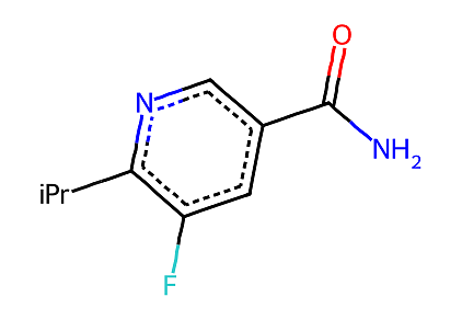 CC(C)c1ncc(C(N)=O)cc1F